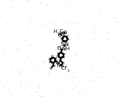 CS(=O)(=O)c1ccc2nc(NC(=O)c3ccc(C4CC(C(F)(F)F)=NN4c4ccccc4CI)cc3)sc2c1